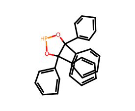 c1ccc(C2(c3ccccc3)OPOC2(c2ccccc2)c2ccccc2)cc1